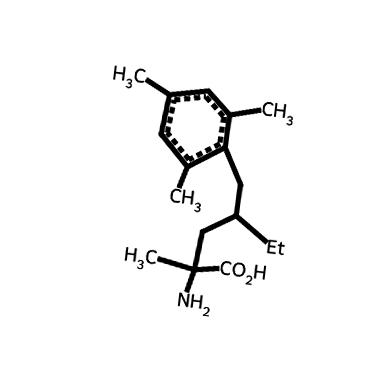 CCC(Cc1c(C)cc(C)cc1C)CC(C)(N)C(=O)O